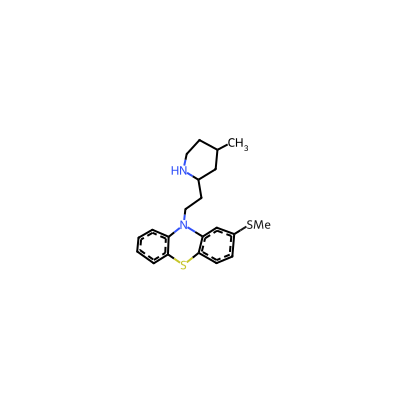 CSc1ccc2c(c1)N(CCC1CC(C)CCN1)c1ccccc1S2